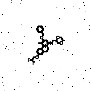 Cc1c(OCc2ccccc2)c/c(=N\C[C@@H]2COCCO2)n2c1-c1ccc(OCC(F)F)cc1CC2